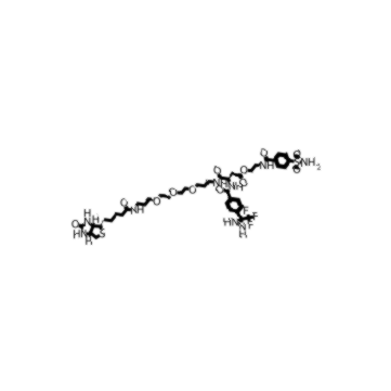 NS(=O)(=O)c1ccc(C(=O)NCCOC(=O)C[C@@H](NC(=O)c2ccc(C3(C(F)(F)F)NN3)cc2)C(=O)NCCCOCCOCCOCCCNC(=O)CCCC[C@@H]2SC[C@@H]3NC(=O)N[C@@H]32)cc1